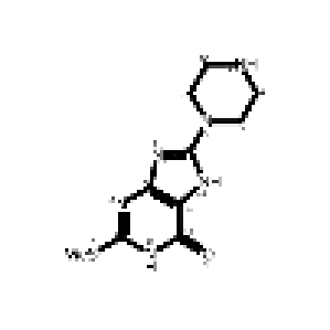 CSc1nc2nc(N3CCNCC3)[nH]c2c(=O)[nH]1